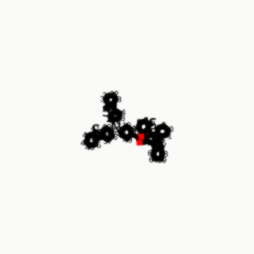 c1ccc2c(c1)Sc1ccccc1C21c2cc(-c3ccc(N(c4ccc5c(c4)sc4ccccc45)c4ccc5c(c4)sc4ccccc45)cc3)ccc2-c2c1ccc1ccccc21